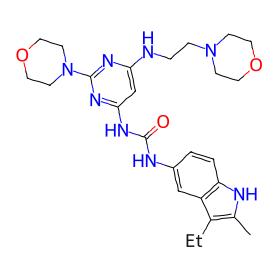 CCc1c(C)[nH]c2ccc(NC(=O)Nc3cc(NCCN4CCOCC4)nc(N4CCOCC4)n3)cc12